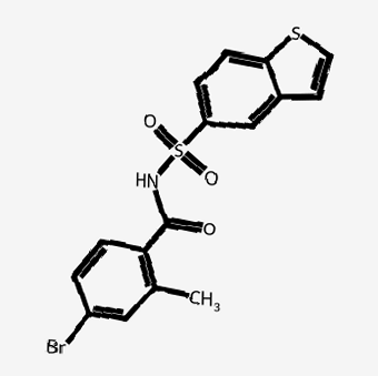 Cc1cc(Br)ccc1C(=O)NS(=O)(=O)c1ccc2sccc2c1